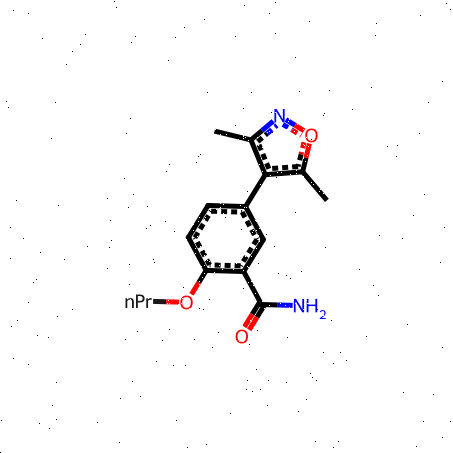 CCCOc1ccc(-c2c(C)noc2C)cc1C(N)=O